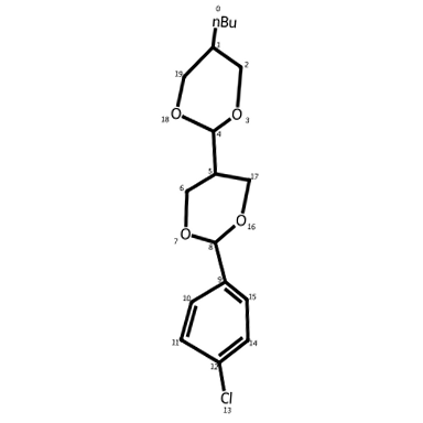 CCCCC1COC(C2COC(c3ccc(Cl)cc3)OC2)OC1